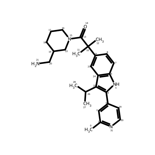 Cc1cc(-c2[nH]c3ccc(C(C)(C)C(=O)N4CCCC(CN)C4)cc3c2C(C)C)ccn1